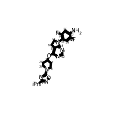 CC(C)c1noc(N2CCC(Oc3ncnc4c3CCN4c3cc(F)c(N)cc3F)CC2)n1